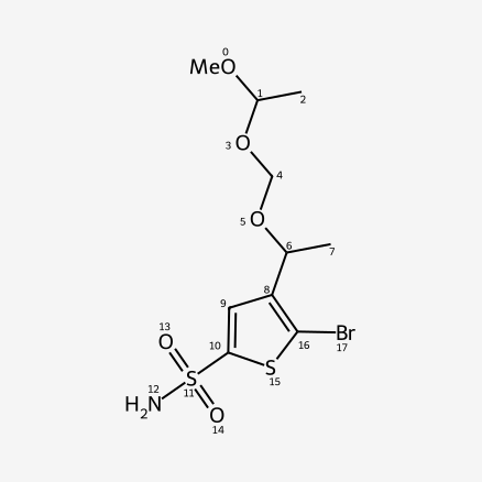 COC(C)OCOC(C)c1cc(S(N)(=O)=O)sc1Br